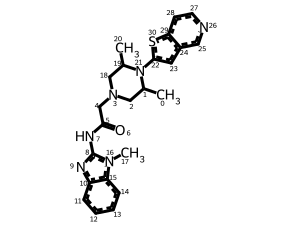 CC1CN(CC(=O)Nc2nc3ccccc3n2C)CC(C)N1c1cc2cnccc2s1